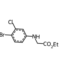 CCOC(=O)CNc1ccc(Br)c(Cl)c1